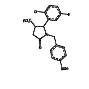 COc1ccc(CN2C(=O)CC(C(=O)O)C2c2cc(F)ccc2Cl)cc1